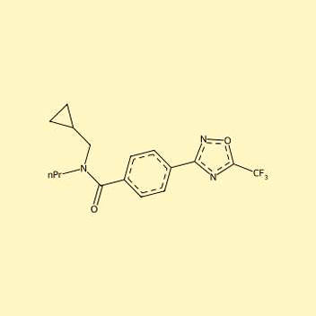 CCCN(CC1CC1)C(=O)c1ccc(-c2noc(C(F)(F)F)n2)cc1